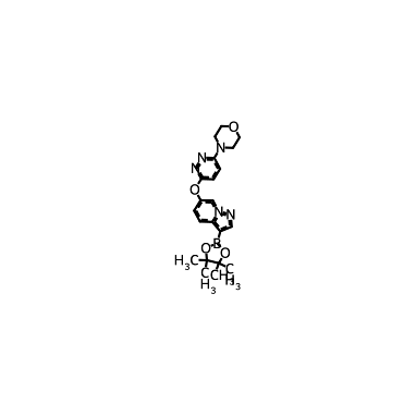 CC1(C)OB(c2cnn3cc(Oc4ccc(N5CCOCC5)nn4)ccc23)OC1(C)C